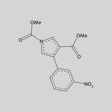 COC(=O)c1cn(C(=O)OC)cc1-c1cccc([N+](=O)[O-])c1